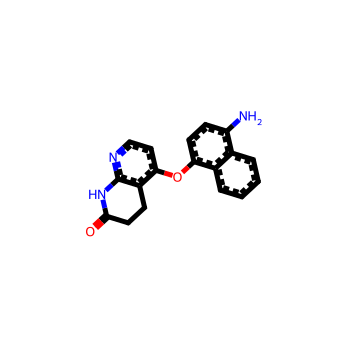 Nc1ccc(Oc2ccnc3c2CCC(=O)N3)c2ccccc12